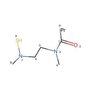 CC(C)C(=O)N(C)CCN(C)S